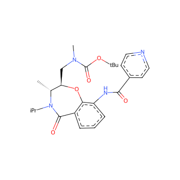 CC(C)N1C(=O)c2cccc(NC(=O)c3ccncc3)c2O[C@H](CN(C)C(=O)OC(C)(C)C)[C@H]1C